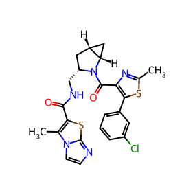 Cc1nc(C(=O)N2[C@H](CNC(=O)c3sc4nccn4c3C)C[C@@H]3C[C@@H]32)c(-c2cccc(Cl)c2)s1